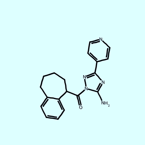 Nc1nc(-c2ccncc2)nn1C(=O)C1CCCCc2ccccc21